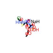 CCOC(=O)COC(=O)C1C(NC(=O)/C(=N\OC)c2csc(NC(=O)CCl)n2)C(=O)N1S(=O)(=O)O.[NaH]